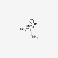 NCCCCC(NC(=O)c1ccccc1Br)C(=O)O